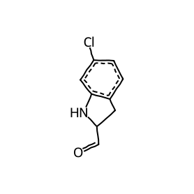 O=CC1Cc2ccc(Cl)cc2N1